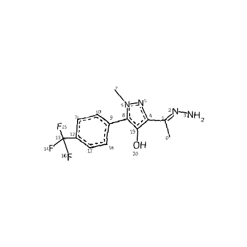 C/C(=N\N)c1nn(C)c(-c2ccc(C(F)(F)F)cc2)c1O